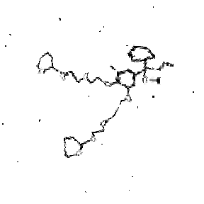 Cc1cc(C(O)(CC(C)(C)C)c2ccccc2)cc(OCCOCCOC2CCCCO2)c1OCCOCCOC1CCCCO1